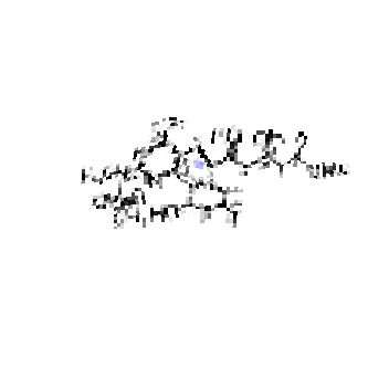 COC(=O)C[C@H](O)C[C@H](O)/C=C/c1c(-c2ccc(F)cc2O)nc(N(C)S(C)(=O)=O)nc1C(C)C